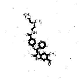 COCCN(C)CCNC(=O)c1ccc(N/C(=C2\C(=O)Nc3cc(C=O)c(C)cc32)c2ccccc2)cc1